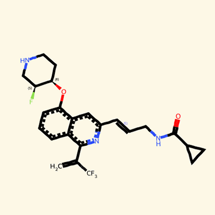 C=C(c1nc(/C=C/CNC(=O)C2CC2)cc2c(O[C@@H]3CCNC[C@@H]3F)cccc12)C(F)(F)F